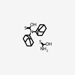 NC(O)=S.OC(=S)N(C1C2CC3CC(C2)CC1C3)C1C2CC3CC(C2)CC1C3